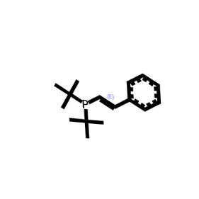 CC(C)(C)P(/C=C/c1ccccc1)C(C)(C)C